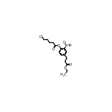 CCOC(=O)CCc1ccc(OC(=O)CCCCCl)c([N+](=O)[O-])c1